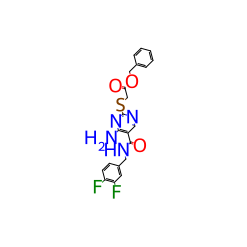 Nc1nc(SCC(=O)OCc2ccccc2)ncc1C(=O)NCc1ccc(F)c(F)c1